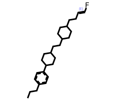 CCCc1ccc(C2CCC(CCC3CCC(CC/C=C/F)CC3)CC2)cc1